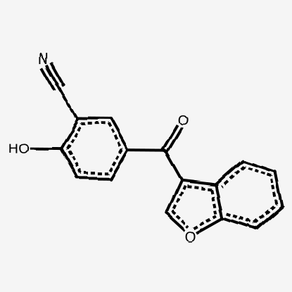 N#Cc1cc(C(=O)c2coc3ccccc23)ccc1O